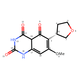 COC1=C([C@@H]2CCOC2)C(=O)C2C(=O)NC(=O)NC2=C1